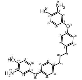 Nc1cc(Oc2ccc(CCCc3ccc(Oc4ccc(O)c(N)c4)cc3)cc2)ccc1O